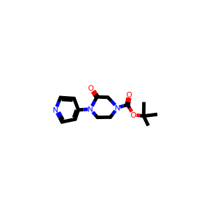 CC(C)(C)OC(=O)N1CCN(c2ccncc2)C(=O)C1